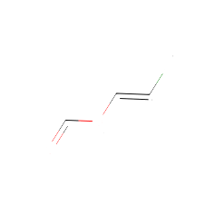 O=[C]O/C=C/Cl